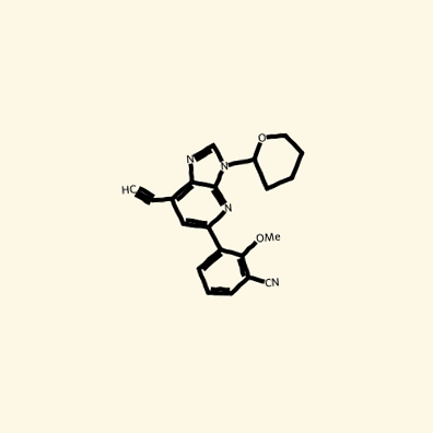 C#Cc1cc(-c2cccc(C#N)c2OC)nc2c1ncn2C1CCCCO1